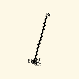 CCO[Si](CCCCCCCCCCCCCCCCCCCCCCCCCBr)(OCC)OCC